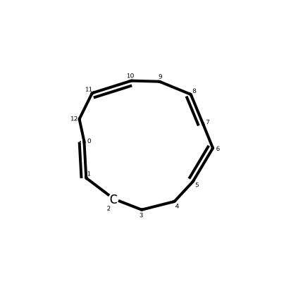 [C]1=CCCCC=CC=CCC=CC1